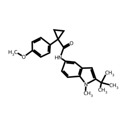 COc1ccc(C2(C(=O)Nc3ccc4c(c3)cc(C(C)(C)C)n4C)CC2)cc1